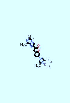 Cc1cn2cc(-c3cc4ccc(N5C[C@@H](C)N(C)[C@@H](C)C5)cc4oc3=O)nc2c(C)n1